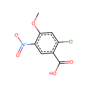 COc1cc(Cl)c(C(=O)O)cc1[N+](=O)[O-]